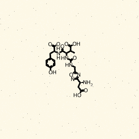 CC(C(=O)O)C(NC(=O)NCc1nc([C@@H](N)CC(=O)O)no1)C(=O)NC(Cc1ccc(O)cc1)C(=O)O